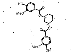 COc1cc(C(=O)O[C@@H]2CCC[C@H](OC(=O)c3ccc(O)c(OC)c3)C2)ccc1O